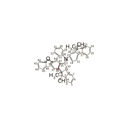 CC1(C)c2ccccc2-c2cc(N(c3ccc4c(c3)C(C)(C)c3ccccc3-4)c3ccccc3-c3cccc4c3oc3ccccc34)ccc21